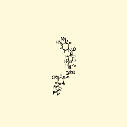 O=C(c1ccc2[nH]nnc2c1)N1C=C2CN(C(=O)OCc3cc(Cl)cc(OC(F)(F)F)c3)C[C@@H]2C1